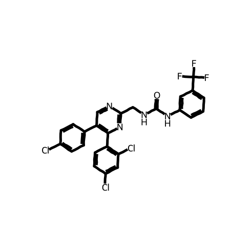 O=C(NCc1ncc(-c2ccc(Cl)cc2)c(-c2ccc(Cl)cc2Cl)n1)Nc1cccc(C(F)(F)F)c1